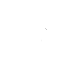 CNC(C#N)c1ccccc1